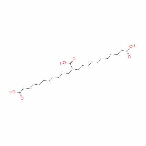 O=C(O)CCCCCCCCCCC(CCCCCCCCCCC(=O)O)C(=O)O